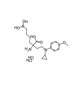 COc1ccc(N(CCC(N)(CCCCB(O)O)C(=O)O)C2CC2)cc1.Cl.Cl